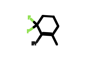 CC1=C(C(C)C)C(F)(F)CCC1